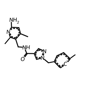 Cc1ccc(Cn2cc(C(=O)NCc3c(C)cc(N)nc3C)cn2)cc1